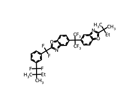 CCC(C)(C)c1nc2cc(C(c3ccc4oc(C(F)(F)c5cccc(C(F)(F)C(C)(C)CC)c5)nc4c3)(C(F)(F)F)C(F)(F)F)ccc2o1